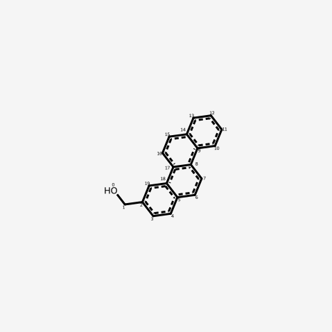 OCc1ccc2ccc3c4ccccc4ccc3c2c1